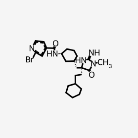 CN1C(=N)N[C@](CCC2CCCCC2)(C[C@H]2CCC[C@@H](NC(=O)c3ccnc(Br)c3)C2)C1=O